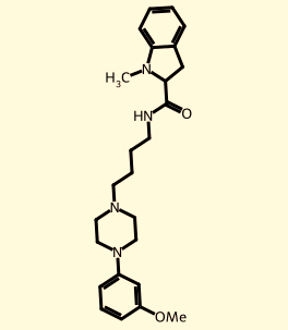 COc1cccc(N2CCN(CCCCNC(=O)C3Cc4ccccc4N3C)CC2)c1